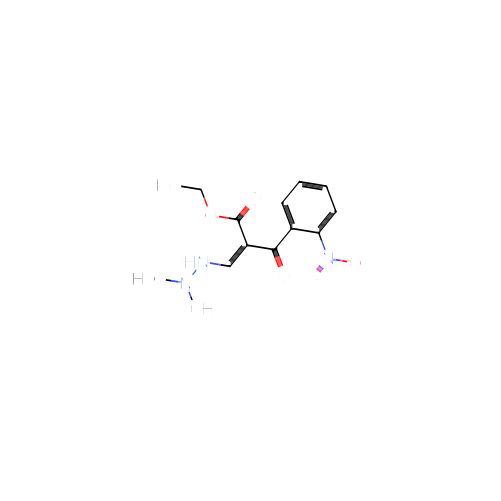 CCOC(=O)C(=CNN(C)C)C(=O)c1ccccc1[N+](=O)[O-]